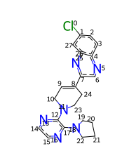 Clc1ccc2ncc(C3=CCN(c4nccnc4N4CCCC4)CC3)nc2c1